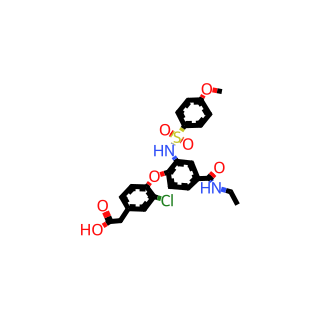 CCNC(=O)c1ccc(Oc2ccc(CC(=O)O)cc2Cl)c(NS(=O)(=O)c2ccc(OC)cc2)c1